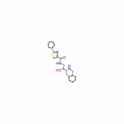 O=C(NCC(O)[C@@H]1Cc2ccccc2CN1)c1csc(-c2ccccc2)n1